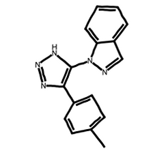 Cc1ccc(-c2nn[nH]c2-n2ncc3ccccc32)cc1